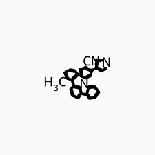 Cc1ccccc1-c1cccc2c3ccccc3n(-c3ccc(C#N)c(-c4ccncc4)c3)c12